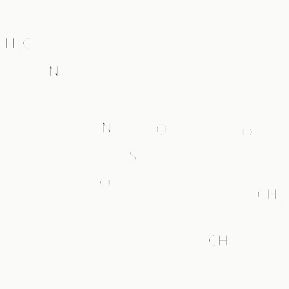 CC(C)C([C]=O)CS(=O)(=O)N1CCN(C)CC1